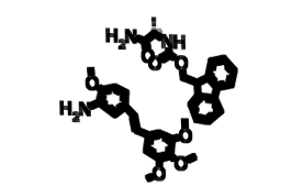 COc1ccc(C=Cc2cc(OC)c(OC)c(OC)c2)cc1N.C[C@H](NC(=O)OCC1c2ccccc2-c2ccccc21)C(N)=O